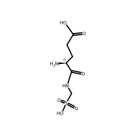 N[C@@H](CCC(=O)O)C(=O)NCS(=O)(=O)O